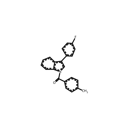 Cc1ccc(C(=O)n2cc(-c3ccc(F)cc3)c3ccccc32)cc1